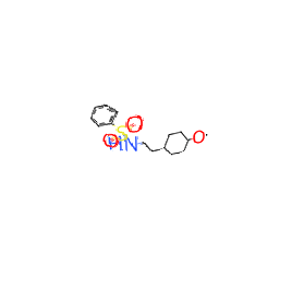 [O]C1CCC(CCNS(=O)(=O)c2ccccc2)CC1